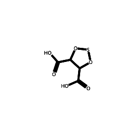 O=C(O)C1OSOC1C(=O)O